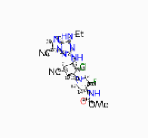 CCNc1nc(Nc2cc(C#N)cc(N3CC[C@H](NC(=O)OC)[C@H](F)C3)c2Cl)nn2c(C#N)cnc12